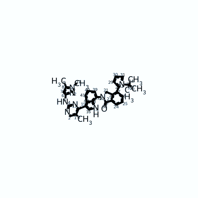 Cc1cnc(Nc2cc(C)n(C)n2)nc1-c1c[nH]c2c(N3Cc4c(cccc4-c4cccn4C(C)(C)C)C3=O)cccc12